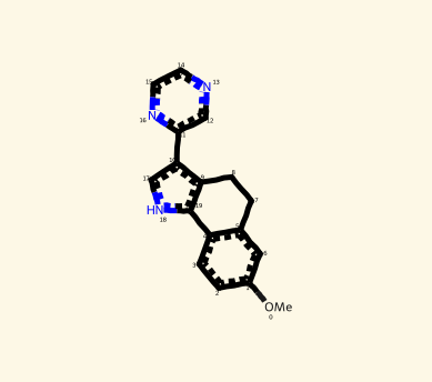 COc1ccc2c(c1)CCc1c(-c3cnccn3)c[nH]c1-2